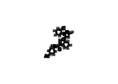 CC(=O)c1ccc(NC(=O)Nc2ccccc2Oc2cc(C)nn2-c2ccccc2Cl)cc1